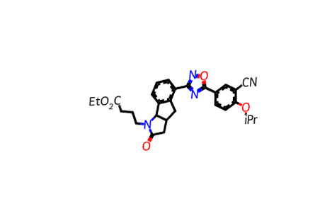 CCOC(=O)CCCN1C(=O)CC2Cc3c(-c4noc(-c5ccc(OC(C)C)c(C#N)c5)n4)cccc3C21